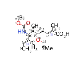 C/C=C(\C)[C@@H](NC(=O)OC(C)(C)C)[C@@H](C)[C@@H](C/C=C(\C)C(=O)O)OCSC